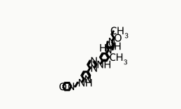 CCC(=O)N1C[C@@H]2C[C@H]1CN2c1ccc(Nc2nccc(-c3ccc(NCCN4CCOCC4)nc3)n2)cc1C